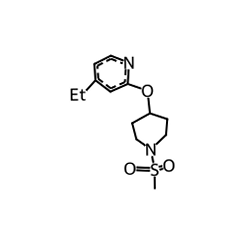 CCc1ccnc(OC2CCN(S(C)(=O)=O)CC2)c1